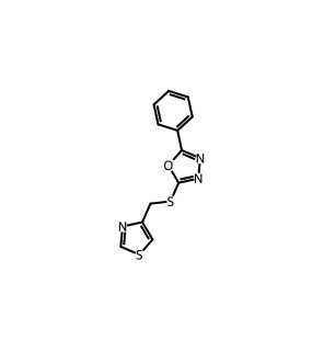 c1ccc(-c2nnc(SCc3cscn3)o2)cc1